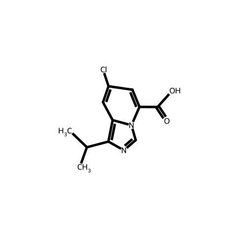 CC(C)c1ncn2c(C(=O)O)cc(Cl)cc12